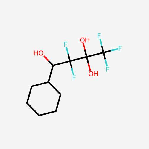 OC(C1CCCCC1)C(F)(F)C(O)(O)C(F)(F)F